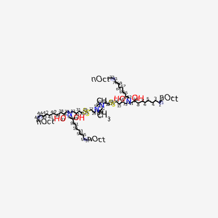 CCCCCCCC/C=C\CCCCCCC(O)CN(CCCCSSCCN1CC(C)N(CCSSCCCCN(CC(O)CCCCCC/C=C\CCCCCCCC)CC(O)CCCCCC/C=C\CCCCCCCC)CC1C)CC(O)CCCCCC/C=C\CCCCCCCC